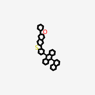 c1ccc2c(-c3c4ccccc4c(-c4ccc5sc6cc7cc8c(cc7cc6c5c4)oc4ccccc48)c4ccccc34)cccc2c1